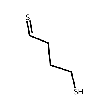 S=CCCCS